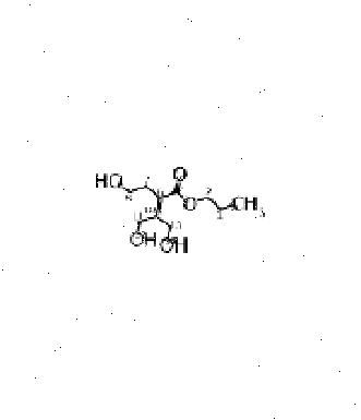 CCCOC(=O)C(CCO)=C(CO)CO